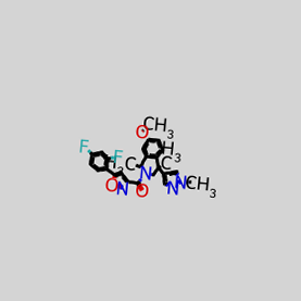 COc1ccc2c(c1)C(C)N(C(=O)c1cc(-c3ccc(F)cc3F)on1)CC2(C)c1cnn(C)c1